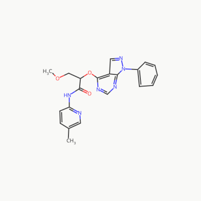 COCC(Oc1ncnc2c1cnn2-c1ccccc1)C(=O)Nc1ccc(C)cn1